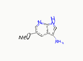 COc1cnc2[nH]cc(N)c2c1